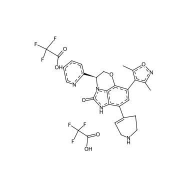 Cc1noc(C)c1-c1cc(C2=CCNCC2)c2[nH]c(=O)n3c2c1OC[C@@H]3c1ccccn1.O=C(O)C(F)(F)F.O=C(O)C(F)(F)F